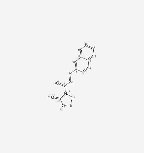 O=C(/C=C/c1ccc2ccccc2c1)N1CCOC1=O